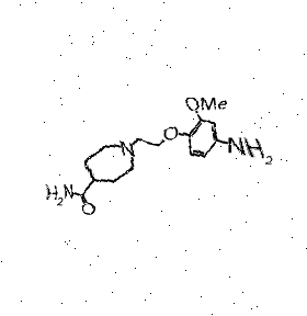 COc1cc(N)ccc1OCCN1CCC(C(N)=O)CC1